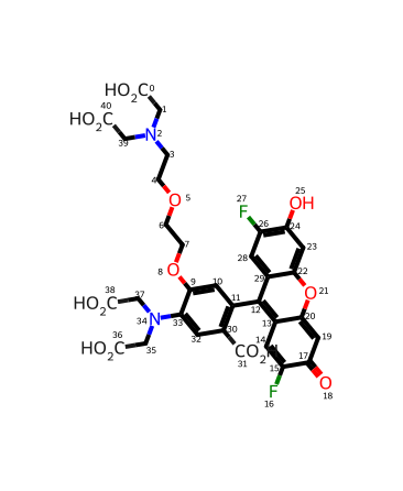 O=C(O)CN(CCOCCOc1cc(-c2c3cc(F)c(=O)cc-3oc3cc(O)c(F)cc23)c(C(=O)O)cc1N(CC(=O)O)CC(=O)O)CC(=O)O